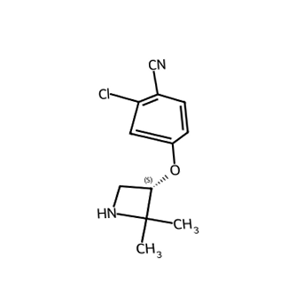 CC1(C)NC[C@@H]1Oc1ccc(C#N)c(Cl)c1